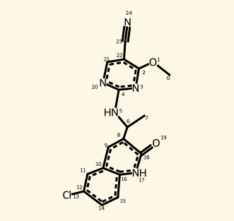 COc1nc(NC(C)c2cc3cc(Cl)ccc3[nH]c2=O)ncc1C#N